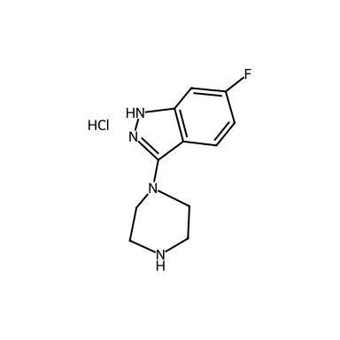 Cl.Fc1ccc2c(N3CCNCC3)n[nH]c2c1